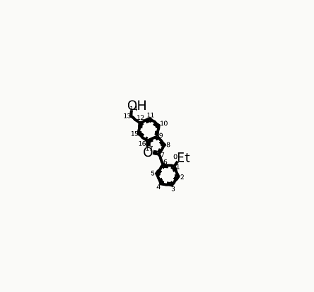 CCc1ccccc1-c1cc2ccc(CO)cc2o1